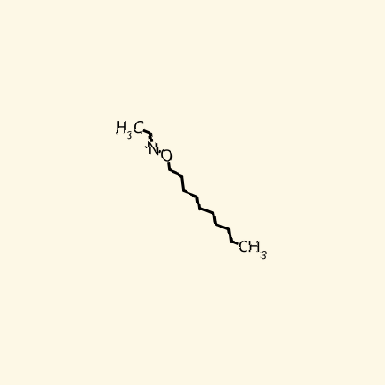 CCCCCCCCCCO[N]CC